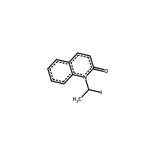 CC(I)n1c(=O)ccc2ccccc21